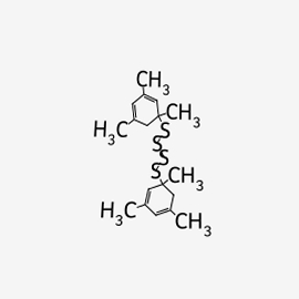 CC1=CC(C)(SSSSC2(C)C=C(C)C=C(C)C2)CC(C)=C1